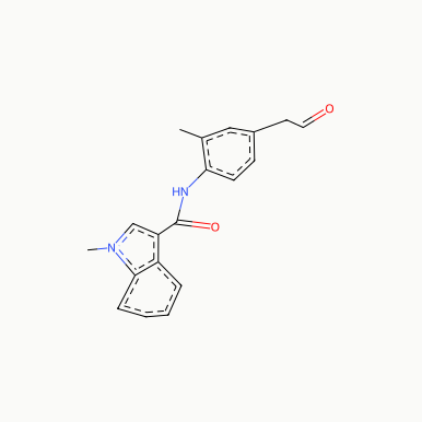 Cc1cc(CC=O)ccc1NC(=O)c1cn(C)c2ccccc12